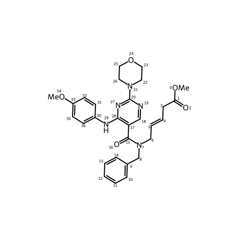 COC(=O)C/C=C/CN(Cc1ccccc1)C(=O)c1cnc(N2CCOCC2)nc1Nc1ccc(OC)cc1